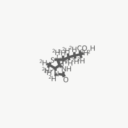 [2H]N1C(=O)N[C@H]2[C@]1([2H])C([2H])([2H])S[C@@]2([2H])C([2H])([2H])C([2H])([2H])C([2H])([2H])C([2H])([2H])C(=O)O